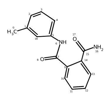 Cc1cccc(NC(=O)c2ccccc2C(N)=O)c1